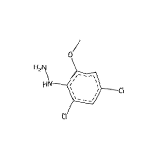 COc1cc(Cl)cc(Cl)c1NN